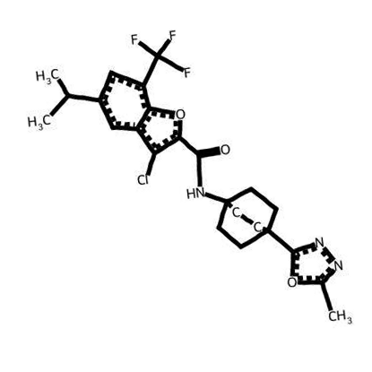 Cc1nnc(C23CCC(NC(=O)c4oc5c(C(F)(F)F)cc(C(C)C)cc5c4Cl)(CC2)CC3)o1